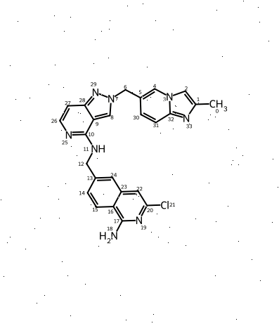 Cc1cn2cc(Cn3cc4c(NCc5ccc6c(N)nc(Cl)cc6c5)nccc4n3)ccc2n1